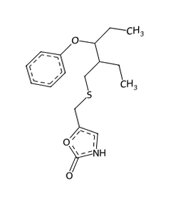 CCC(CSCc1c[nH]c(=O)o1)C(CC)Oc1ccccc1